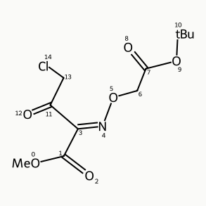 COC(=O)/C(=N/OCC(=O)OC(C)(C)C)C(=O)CCl